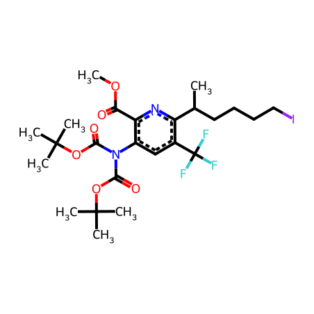 COC(=O)c1nc(C(C)CCCCI)c(C(F)(F)F)cc1N(C(=O)OC(C)(C)C)C(=O)OC(C)(C)C